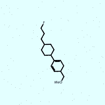 COCC1C=CC(C2CCC(CCCF)CC2)=CC1